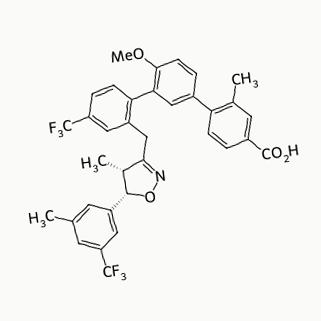 COc1ccc(-c2ccc(C(=O)O)cc2C)cc1-c1ccc(C(F)(F)F)cc1CC1=NO[C@H](c2cc(C)cc(C(F)(F)F)c2)[C@@H]1C